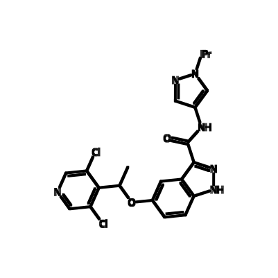 CC(Oc1ccc2[nH]nc(C(=O)Nc3cnn(C(C)C)c3)c2c1)c1c(Cl)cncc1Cl